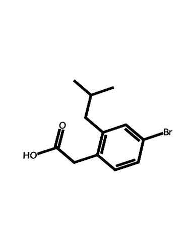 CC(C)Cc1cc(Br)ccc1CC(=O)O